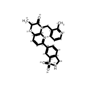 Cc1ncccc1CN1C(=O)C(C)Oc2ccc(-c3ccc4c(c3)S(=O)(=O)NC4)nc21